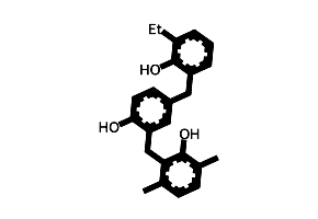 CCc1cccc(Cc2ccc(O)c(Cc3c(C)ccc(C)c3O)c2)c1O